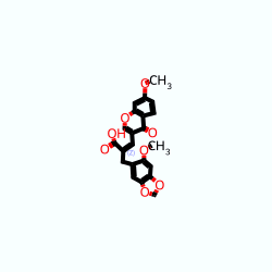 COc1ccc2c(=O)c(/C=C(/Cc3cc4c(cc3OC)OCO4)C(=O)O)coc2c1